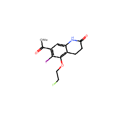 COC(=O)c1cc2c(c(OCCF)c1I)CCC(=O)N2